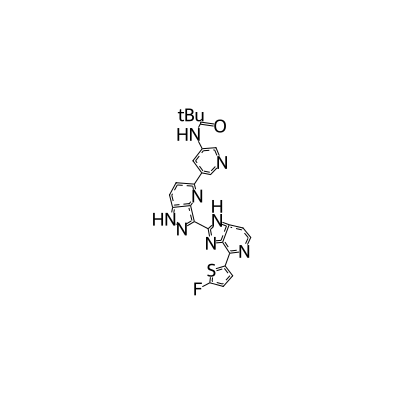 CC(C)(C)C(=O)Nc1cncc(-c2ccc3[nH]nc(-c4nc5c(-c6ccc(F)s6)nccc5[nH]4)c3n2)c1